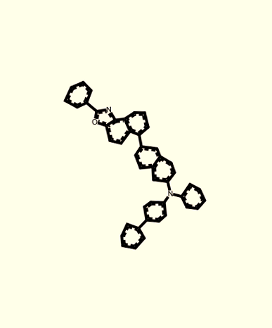 c1ccc(-c2ccc(N(c3ccccc3)c3ccc4cc(-c5cccc6c5ccc5oc(-c7ccccc7)nc56)ccc4c3)cc2)cc1